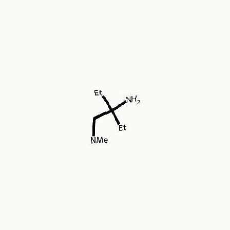 CCC(N)(CC)CNC